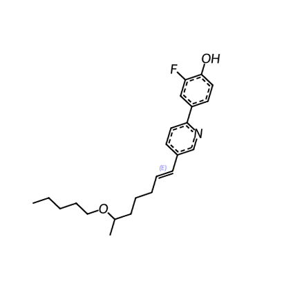 CCCCCOC(C)CCC/C=C/c1ccc(-c2ccc(O)c(F)c2)nc1